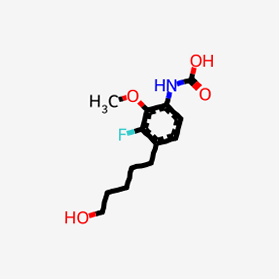 COc1c(NC(=O)O)ccc(CCCCCO)c1F